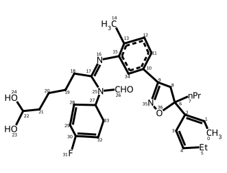 C/C=C(\C=C/CC)C1(CCC)CC(c2ccc(C)c(/N=C(/CCCCC(O)O)N(C=O)C3C=CC(F)=CC3)c2)=NO1